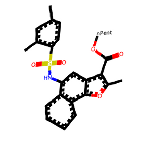 CCCCCOC(=O)c1c(C)oc2c1cc(NS(=O)(=O)c1ccc(C)cc1C)c1ccccc12